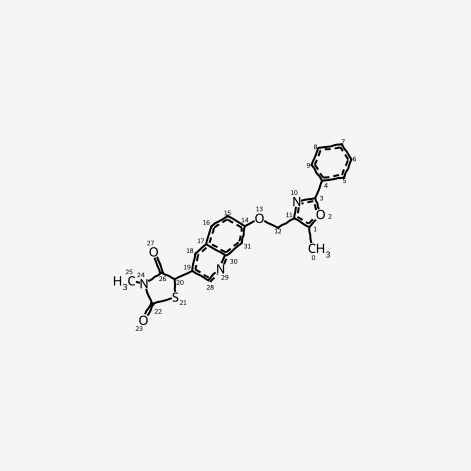 Cc1oc(-c2ccccc2)nc1COc1ccc2cc(C3SC(=O)N(C)C3=O)cnc2c1